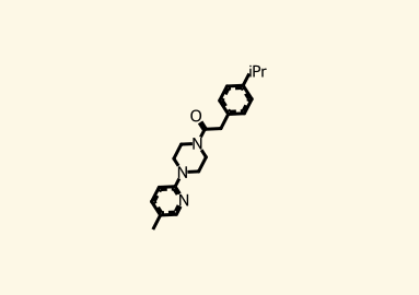 Cc1ccc(N2CCN(C(=O)Cc3ccc(C(C)C)cc3)CC2)nc1